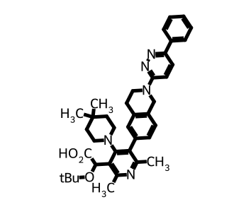 Cc1nc(C)c(C(OC(C)(C)C)C(=O)O)c(N2CCC(C)(C)CC2)c1-c1ccc2c(c1)CCN(c1ccc(-c3ccccc3)nn1)C2